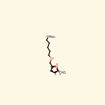 CCCCCCCCCCCCCCOCc1ccc(C=O)o1